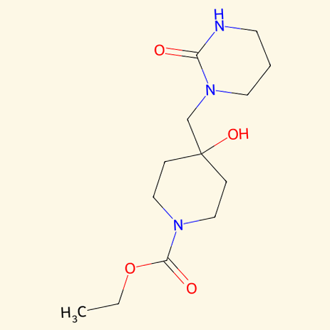 CCOC(=O)N1CCC(O)(CN2CCCNC2=O)CC1